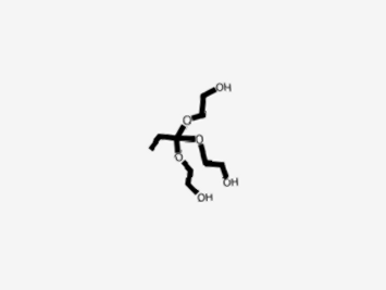 CCC(OCCO)(OCCO)OCCO